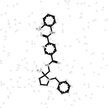 CC1(CNC(=O)c2ccc(C(=O)Nc3ccccc3N)nc2)CCCN1Cc1ccccc1